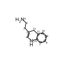 NCCC1=CNc2ccccc2C1